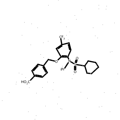 CC(C)N(c1ccc(C(F)(F)F)cc1OCc1ccc(C(=O)O)cc1)S(=O)(=O)C1CCCCC1